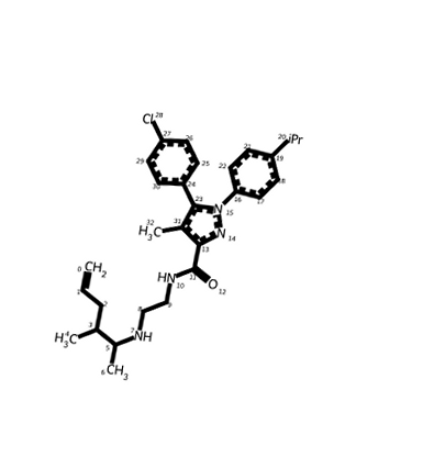 C=CCC(C)C(C)NCCNC(=O)c1nn(-c2ccc(C(C)C)cc2)c(-c2ccc(Cl)cc2)c1C